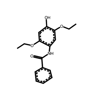 CCOc1cc(NC(=O)c2ccccc2)c(OCC)cc1O